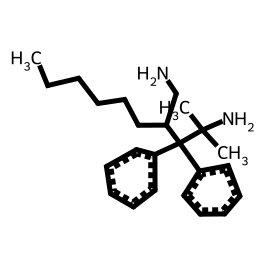 CCCCCCC(CN)C(c1ccccc1)(c1ccccc1)C(C)(C)N